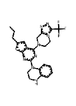 CCCc1cc2c(N3CCn4c(nnc4C(F)(F)F)C3)nc(N3CCNc4ccccc43)nc2s1